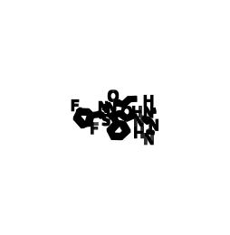 CC[C@@H](O)C(=O)N1N=C(c2cc(F)ccc2F)SC1(CCCN/C(=N\C#N)NC)c1ccccc1